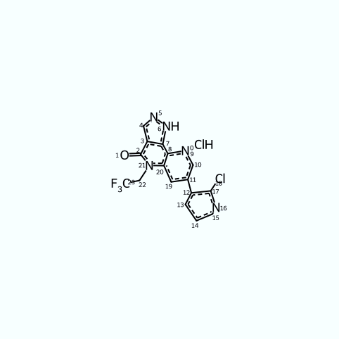 Cl.O=c1c2cn[nH]c2c2ncc(-c3cccnc3Cl)cc2n1CC(F)(F)F